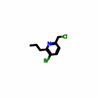 CCCc1nc(CCl)ccc1Br